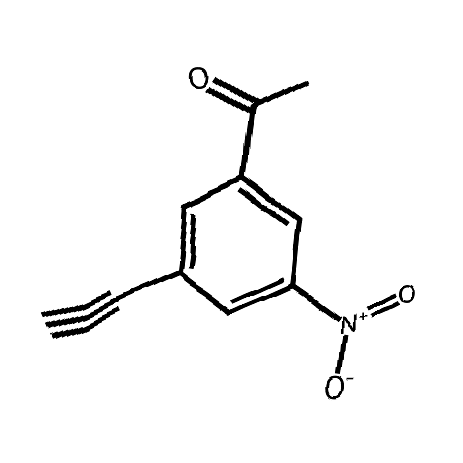 C#Cc1cc(C(C)=O)cc([N+](=O)[O-])c1